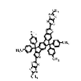 Cc1ccc(C2(c3ccc(C)cc3)c3cc4c(cc3-c3cc5cc(-c6nc7sc(C)nc7s6)sc5cc32)C(c2ccc(C)cc2)(c2ccc(C)cc2)c2cc(-c3nc5sc(C)nc5s3)sc2-4)cc1